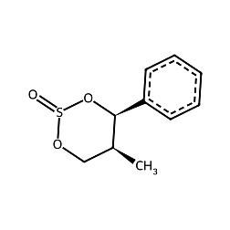 C[C@H]1COS(=O)O[C@H]1c1ccccc1